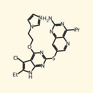 CCc1[nH]c2nc(Sc3cnc4c(C(C)C)nc(N)nc4c3)nc(OCCn3ccnc3)c2c1Cl